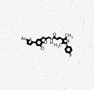 CC(=O)c1ccc(-c2cc(Cl)c3c(c2)CC(CNC(=O)C=Cc2c(C)nn(-c4ccc(F)cc4)c2C)O3)s1